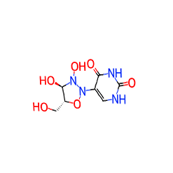 O=c1[nH]cc(N2O[C@H](CO)[C@@H](O)N2O)c(=O)[nH]1